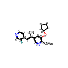 COc1ncc(/C(C#N)=C/c2ccncc2F)cc1OC1CCCC1